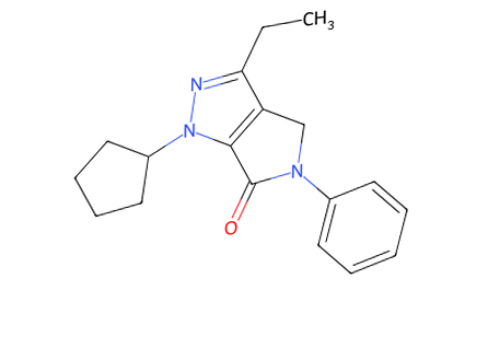 CCc1nn(C2CCCC2)c2c1CN(c1ccccc1)C2=O